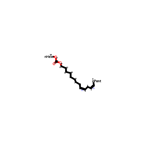 CCCCC/C=C\C/C=C\CCCCCCCCOC(=O)OCCCCCC